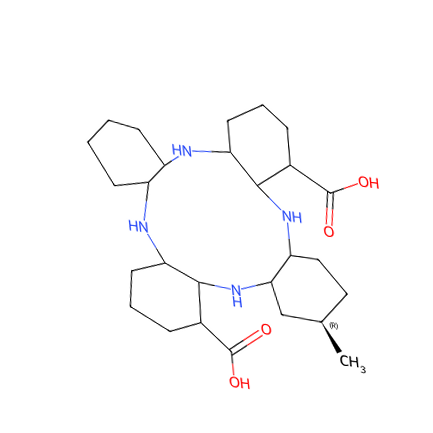 C[C@@H]1CCC2NC3C(CCCC3C(=O)O)NC3CCCCC3NC3CCCC(C(=O)O)C3NC2C1